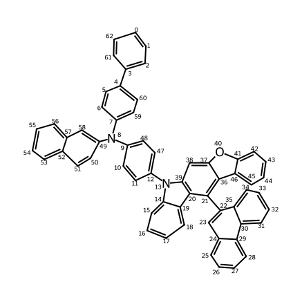 c1ccc(-c2ccc(N(c3ccc(-n4c5ccccc5c5c(-c6cc7ccccc7c7ccccc67)c6c(cc54)oc4ccccc46)cc3)c3ccc4ccccc4c3)cc2)cc1